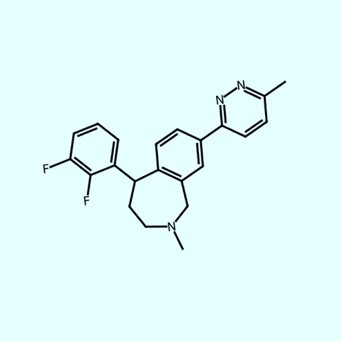 Cc1ccc(-c2ccc3c(c2)CN(C)CCC3c2cccc(F)c2F)nn1